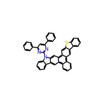 c1ccc(-c2cc(-c3ccccc3)nc(-n3c4ccccc4c4cc5c6ccccc6c6cc7c(cc6c5cc43)sc3ccccc37)n2)cc1